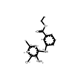 CCOC(=O)c1cccc(Nc2nc(C)nc(Cl)c2N)c1